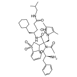 CC(=O)N(C(=O)[C@@H](N)Cc1ccccc1)[C@@](Cn1nc(C)cc1C)(C(=O)N[C@@H](CC1CCCCC1)[C@@H](O)CC(=O)NCC(C)C)C1CS(=O)(=O)c2ccccc21